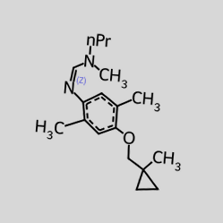 CCCN(C)/C=N\c1cc(C)c(OCC2(C)CC2)cc1C